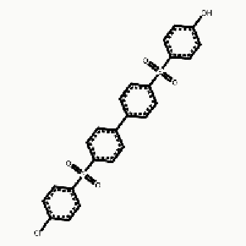 O=S(=O)(c1ccc(O)cc1)c1ccc(-c2ccc(S(=O)(=O)c3ccc(Cl)cc3)cc2)cc1